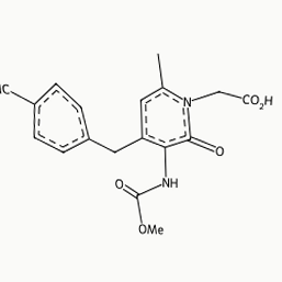 COC(=O)Nc1c(Cc2ccc(C#N)cc2)cc(C)n(CC(=O)O)c1=O